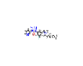 O=C(Nc1cccnc1)Nc1cc(F)cc(CN2CCC(C(=O)O)CC2)c1